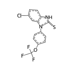 FC(F)(F)Oc1ccc(-n2c(=S)[nH]c3ccc(Cl)cc32)cc1